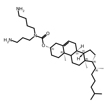 CC(C)CCC[C@@H](C)[C@H]1CC[C@H]2[C@@H]3CC=C4C[C@@H](OC(=O)N(CCCN)CCCCN)CC[C@]4(C)C3CC[C@]12C